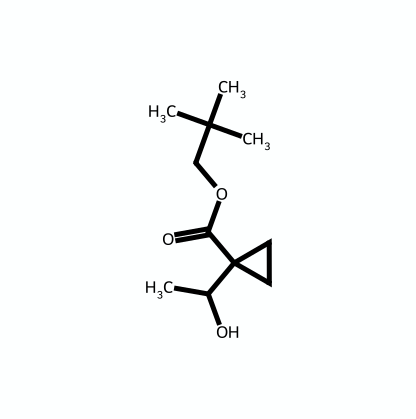 CC(O)C1(C(=O)OCC(C)(C)C)CC1